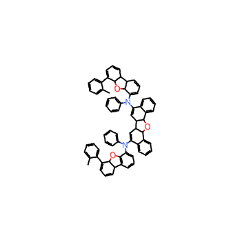 Cc1ccccc1C1=CC=CC2c3cccc(N(C4=CC5C(OC6c7ccccc7C(N(C7=CC=CC8C7OC7C(c9ccccc9C)=CC=CC78)c7ccccc7)=CC65)c5ccccc54)c4ccccc4)c3OC12